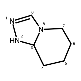 C1=NNC2CCCCN12